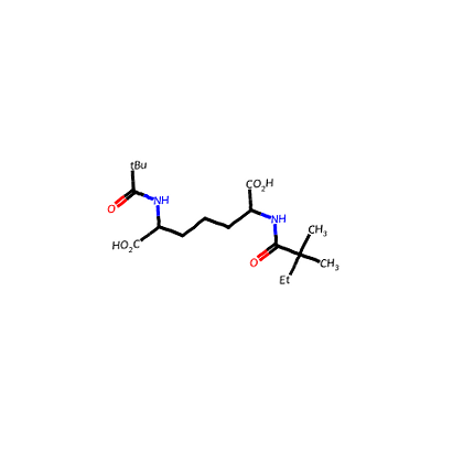 CCC(C)(C)C(=O)NC(CCCC(NC(=O)C(C)(C)C)C(=O)O)C(=O)O